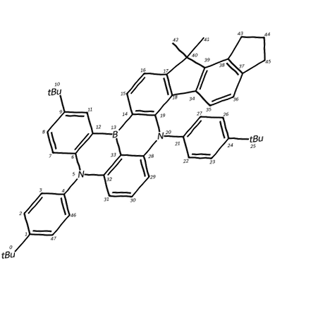 CC(C)(C)c1ccc(N2c3ccc(C(C)(C)C)cc3B3c4ccc5c(c4N(c4ccc(C(C)(C)C)cc4)c4cccc2c43)-c2ccc3c(c2C5(C)C)CCC3)cc1